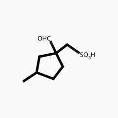 CC1CCC(C=O)(CS(=O)(=O)O)C1